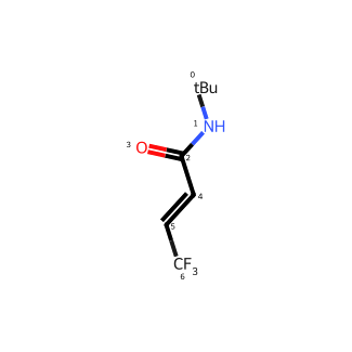 CC(C)(C)NC(=O)/C=C/C(F)(F)F